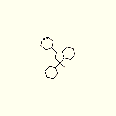 CC(CCC1CC=CCC1)(C1CCCCC1)C1CCCCC1